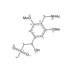 COc1cc(C(O)CS(C)(=O)=O)cc(OC)c1CNC(C)=O